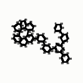 c1ccc(-c2cccc(-c3nc(-c4ccccc4)nc(-c4cccc(-c5cccc(-c6cc7ccc8cccc9c%10cccc%11ccc%12cccc(c(c6)c7c89)c%12c%11%10)c5)c4)n3)c2)cc1